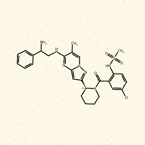 Cc1cn2nc([C@@H]3CCCCN3C(=O)c3cc(Cl)ccc3NS(C)(=O)=O)cc2nc1NCC(N)c1ccccc1